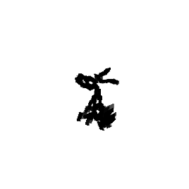 CCCN(CCC)c1cc2c(cc1CN(C=O)Cc1cc(C(F)(F)F)cc(C(F)(F)F)c1)CCC2